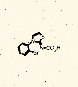 O=C(O)N=c1sccn1-c1ccccc1Br